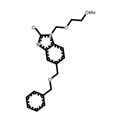 COCCOCn1c(Cl)nc2cc(COCc3ccccc3)ccc21